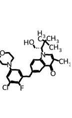 Cc1cn([C@H](CO)C(C)(C)C)c2ccc(Cc3cc(N4CCOCC4)cc(Cl)c3F)cc2c1=O